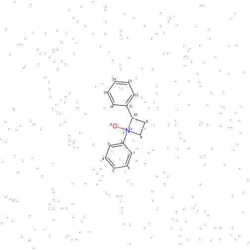 [O-][N+]1(c2ccccc2)CCC1c1ccccc1